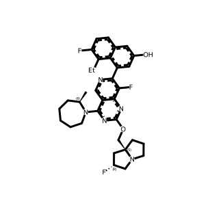 CCc1c(F)ccc2cc(O)cc(-c3ncc4c(N5CCCCC[C@H]5C)nc(OC[C@@]56CCCN5C[C@H](F)C6)nc4c3F)c12